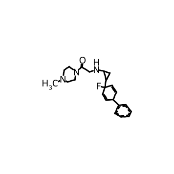 CN1CCN(C(=O)CNC2CC2C2(F)C=CC(c3ccccc3)C=C2)CC1